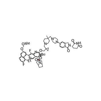 CCc1c(F)ccc2cc(OCOC)cc(-c3ncc4c(N5CC6CCC(C5)N6C(=O)OC(C)(C)C)nc(OCC5(CN6CCC(C)(CN7CCN(c8ccc9c(c8)CN([C@H]8CCC(=O)NC8=O)C9=O)CC7)CC6)CC5)nc4c3F)c12